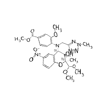 COC(=O)c1ccc(N(Cc2nnn(C)n2)[C@H]2c3cc([N+](=O)[O-])ccc3O[C@](C)(C(OC)OC)[C@@H]2O)c(OC)c1